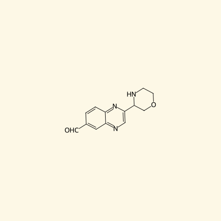 O=Cc1ccc2nc(C3COCCN3)cnc2c1